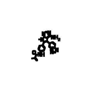 C=C(C)C(=O)Nc1ccc(-c2c(-c3ccc4ncnn4c3)c3c(N)ncnc3n2C)cc1